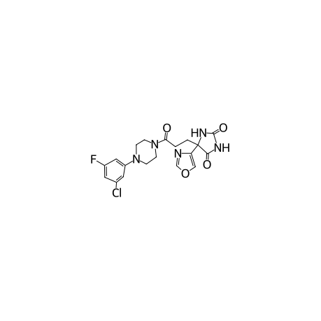 O=C1NC(=O)C(CCC(=O)N2CCN(c3cc(F)cc(Cl)c3)CC2)(c2cocn2)N1